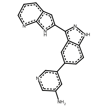 Nc1cncc(-c2ccc3[nH]nc(-c4cc5cccnc5[nH]4)c3c2)c1